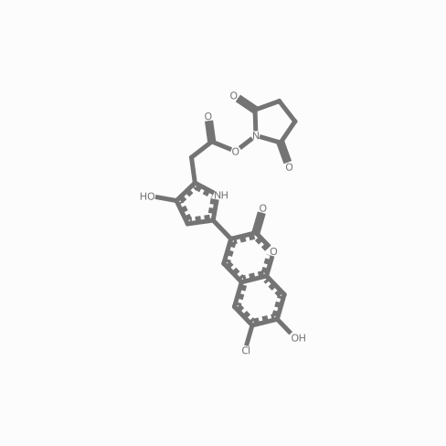 O=C(Cc1[nH]c(-c2cc3cc(Cl)c(O)cc3oc2=O)cc1O)ON1C(=O)CCC1=O